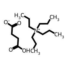 CCC[N+](CCC)(CCC)CCC.O=C([O-])CCC(=O)O